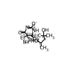 CC(O)CC(C)(C)O.CCCC(C)C1(CC)C(=O)N=C([O-])NC1=O.[Na+]